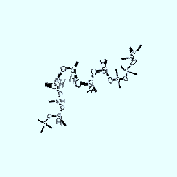 C[SiH](O[SiH](C)O[SiH](C)O[SiH](C)O[Si](C)(C)O[Si](C)(C)O[Si](C)(C)C)O[SiH](C)O[SiH](C)O[Si](C)(C)C